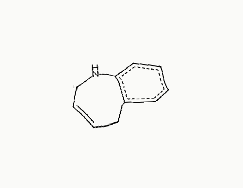 [C]1C=CCc2ccccc2N1